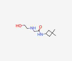 CC1(C)CC(NC(=O)CNCCO)C1